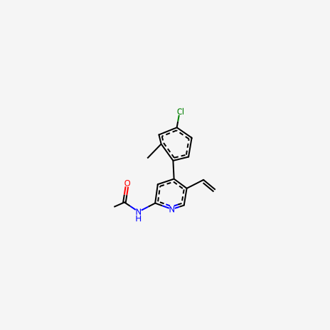 C=Cc1cnc(NC(C)=O)cc1-c1ccc(Cl)cc1C